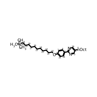 CCCCCCCCc1cnc(-c2ccc(OCCCCCCCCCCC[Si](C)(C)C)cc2)nc1